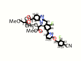 COCCC(C)(C)OC(=O)c1ccc2nc(Cc3ccc(-c4cccc(OCc5ccc(C#N)cc5F)n4)cc3F)n(CC(OC)C(=O)OC)c2c1